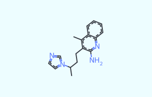 Cc1c(CCC(C)n2ccnc2)c(N)nc2ccccc12